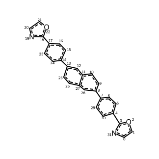 c1coc(-c2ccc(-c3ccc4cc(-c5ccc(-c6ncco6)cc5)ccc4c3)cc2)n1